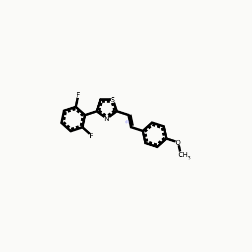 COc1ccc(/C=C/c2nc(-c3c(F)cccc3F)cs2)cc1